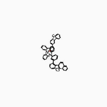 c1cc(-c2cccc3oc4c5ccccc5ccc4c23)cc(N(c2ccc(-c3ccc4sc5ccccc5c4c3)cc2)c2ccccc2-n2c3ccccc3c3ccccc32)c1